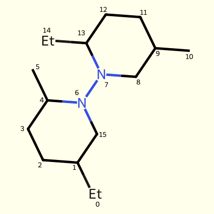 CCC1CCC(C)N(N2CC(C)CCC2CC)C1